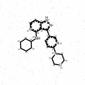 c1cc2[nH]nc(-c3ccc(N4CCOCC4)nc3)c2c(NC2CCCCC2)n1